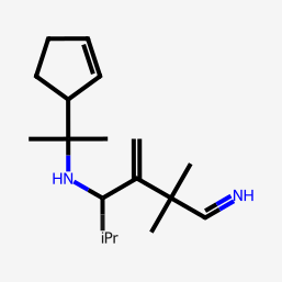 C=C(C(NC(C)(C)C1C=CCC1)C(C)C)C(C)(C)C=N